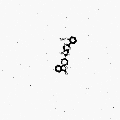 COc1ccccc1-c1ncc2[nH]c([C@H]3CC[C@@]4(CC3)OC(=O)c3ccccc34)nc2n1